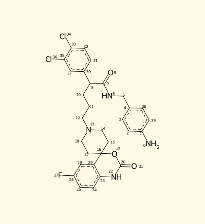 Nc1ccc(CNC(=O)C(CCCN2CCC3(CC2)OC(=O)Nc2ccc(F)cc23)c2ccc(Cl)c(Cl)c2)cc1